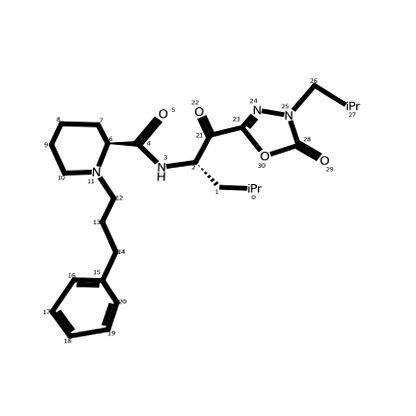 CC(C)C[C@H](NC(=O)[C@@H]1CCCCN1CCCc1ccccc1)C(=O)c1nn(CC(C)C)c(=O)o1